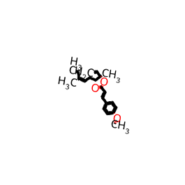 C=CC(C)(CC/C=C(/C)CC)OC(=O)/C=C/c1ccc(OC)cc1